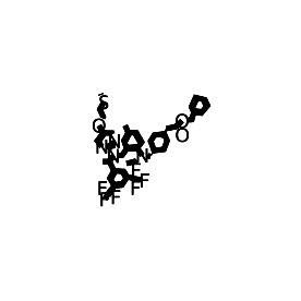 CCN(C[C@H]1CC[C@H](CC(=O)OCc2ccccc2)CC1)c1ccc(C)cc1CN(c1ncc(OCCSC)cn1)C(C)c1cc(C(F)(F)F)cc(C(F)(F)F)c1